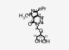 CCCc1nn(C)c2c(=O)n(COC(CO)CO)nnc12